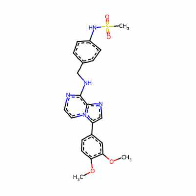 COc1ccc(-c2cnc3c(NCc4ccc(NS(C)(=O)=O)cc4)nccn23)cc1OC